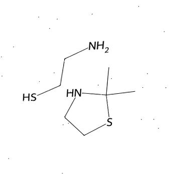 CC1(C)NCCS1.NCCS